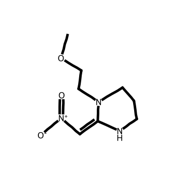 COCCN1CCCNC1=C[N+](=O)[O-]